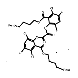 CCCC(C)CCCCOC(=O)c1c(Cl)c(Cl)cc(Cl)c1OC(=O)C(=O)Oc1c(Cl)cc(Cl)c(Cl)c1C(=O)OCCCCC(C)CCC